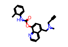 C#CCN(C)Cc1ccc(OC(=O)Nc2ccccc2C)c2ncccc12